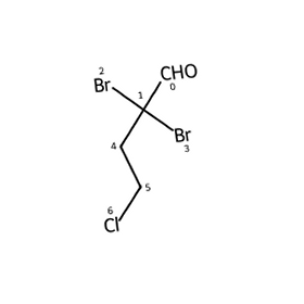 O=CC(Br)(Br)CCCl